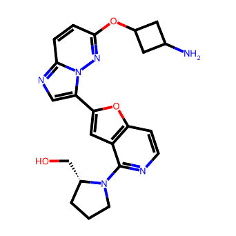 NC1CC(Oc2ccc3ncc(-c4cc5c(N6CCC[C@@H]6CO)nccc5o4)n3n2)C1